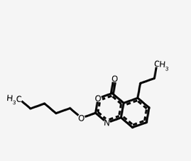 CCCCCOc1nc2cccc(CCC)c2c(=O)o1